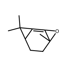 CC12CCC3C(=C1O2)C3(C)C